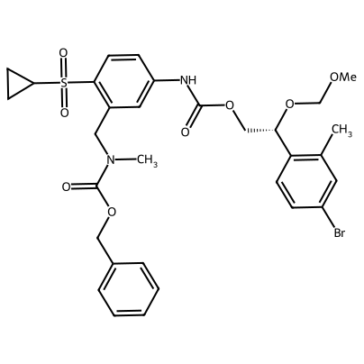 COCO[C@@H](COC(=O)Nc1ccc(S(=O)(=O)C2CC2)c(CN(C)C(=O)OCc2ccccc2)c1)c1ccc(Br)cc1C